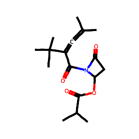 CC(C)=C=C(C(=O)N1C(=O)CC1OC(=O)C(C)C)C(C)(C)C